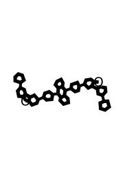 c1ccc(-c2ccc3oc4ccc(-c5ccc(-c6c7ccccc7c(-c7ccc(-c8ccc9oc%10ccc(-c%11ccccc%11)cc%10c9c8)cc7)c7ccccc67)cc5)cc4c3c2)cc1